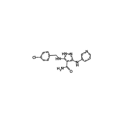 NC(=O)c1c(Nc2cccnc2)n[nH]c1NCc1ccc(Cl)cc1